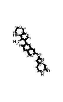 Cc1c(-c2cc3cc(Nc4cc5n(n4)CC(=O)NCC5)ncc3cc2F)cnc2c1NCCOC2